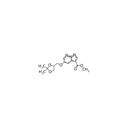 COC(=O)c1cnn2ncc(OCC3COC(C)(C)O3)cc12